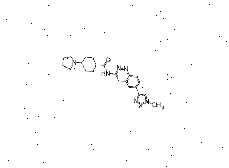 Cn1cc(-c2ccc3nnc(NC(=O)[C@H]4CC[C@H](N5CCCC5)CC4)cc3c2)nn1